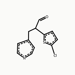 O=CC(Cc1ccncc1)c1ccc(Cl)s1